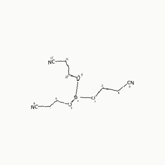 N#CCCOB(OCCC#N)OCCC#N